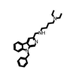 CCN(CC)CCCCNCc1cc2c3ccccc3n(Cc3ccccc3)c2cn1